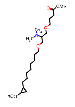 CCCCCCCCC1CC1CCCCCCCCOCC(COCCCC(=O)OC)N(C)C